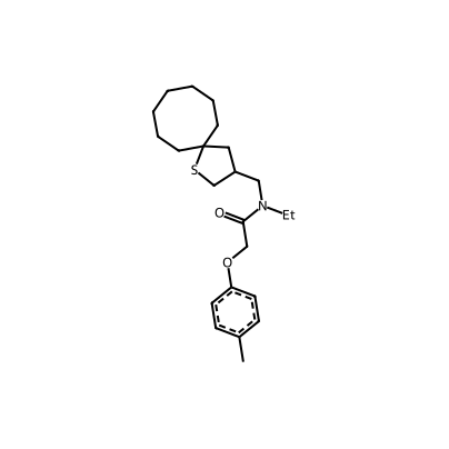 CCN(CC1CSC2(CCCCCCC2)C1)C(=O)COc1ccc(C)cc1